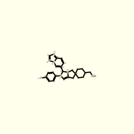 OCC1CCC2(CC1)CC1=CN(c3ccc(F)cc3)C(c3ccc4ncnn4c3)N1C2